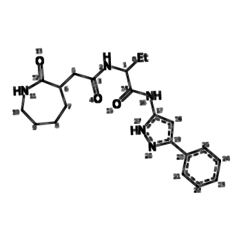 CCC(NC(=O)CC1CCCCNC1=O)C(=O)Nc1cc(-c2ccccc2)n[nH]1